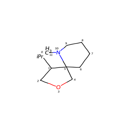 CC(C)C1COCC12CCCCN2C